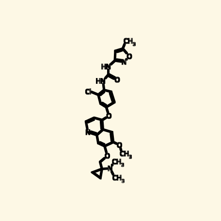 COc1cc2c(Oc3ccc(NC(=O)Nc4cc(C)on4)c(Cl)c3)ccnc2cc1OCC1(N(C)C)CC1